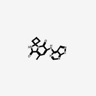 Cc1cc(Nc2ncnc3sncc23)c(=O)n2c1C(=O)NC21CCC1